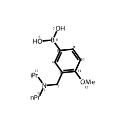 CCCN(Cc1cc(B(O)O)ccc1OC)C(C)C